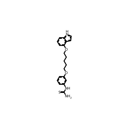 NC(=S)Nc1cccc(OCCCCCOc2cccc3[nH]ccc23)c1